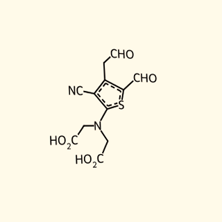 N#Cc1c(N(CC(=O)O)CC(=O)O)sc(C=O)c1CC=O